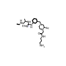 C=CNCC(C)N/C(=N\CC)Nc1cccc(CN2CCN(CC(=O)NCCCN)C(C(C)=O)C2)c1